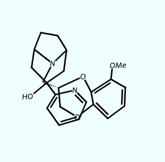 COc1cccc2c1O[C@@H](CN1C3CCC1CC(O)(c1ccccn1)C3)CO2